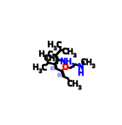 CC/C=C(/C=C(\C(N)=C(/C)C(C)C)C(C)C)OCCNC